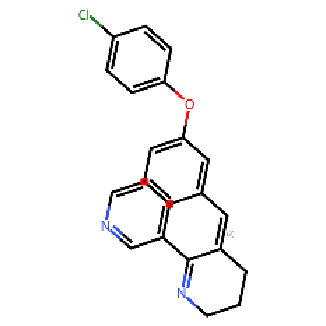 Clc1ccc(Oc2cccc(/C=C3/CCCN=C3c3cccnc3)c2)cc1